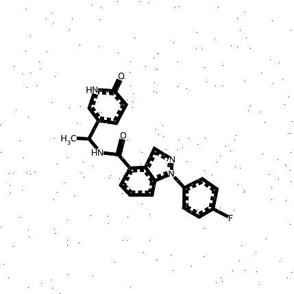 CC(NC(=O)c1cccc2c1cnn2-c1ccc(F)cc1)c1ccc(=O)[nH]c1